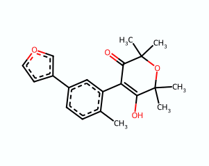 Cc1ccc(-c2ccoc2)cc1C1=C(O)C(C)(C)OC(C)(C)C1=O